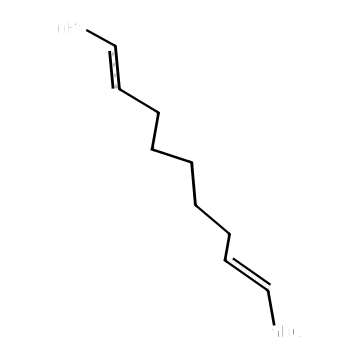 CCCC=CCC[CH]CCC=CCCCC